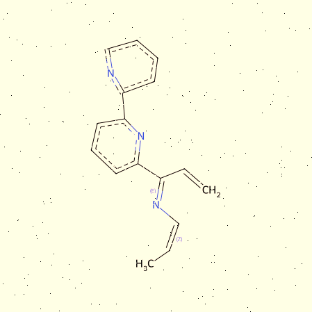 C=C/C(=N\C=C/C)c1cccc(-c2ccccn2)n1